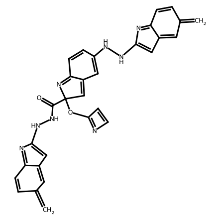 C=c1ccc2c(c1)C=C(NNC(=O)C1(OC3=NC=C3)C=c3cc(NNC4=Cc5cc(=C)ccc5=N4)ccc3=N1)N=2